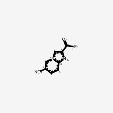 CC(C)C(=O)c1cn2cc(C#N)ccc2n1